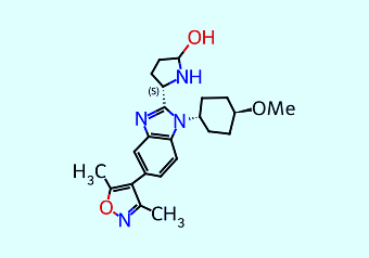 CO[C@H]1CC[C@H](n2c([C@@H]3CCC(O)N3)nc3cc(-c4c(C)noc4C)ccc32)CC1